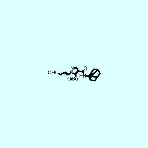 CC(C)COc1c(C(=O)NC2C3CC4CC(C3)CC2C4)cnn1/C=C/CC=O